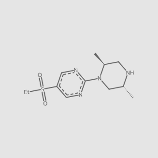 CCS(=O)(=O)c1cnc(N2C[C@@H](C)NC[C@@H]2C)nc1